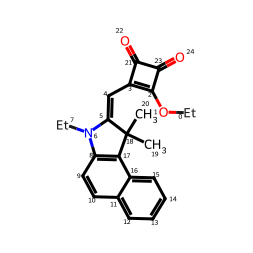 CCOc1c(C=C2N(CC)c3ccc4ccccc4c3C2(C)C)c(=O)c1=O